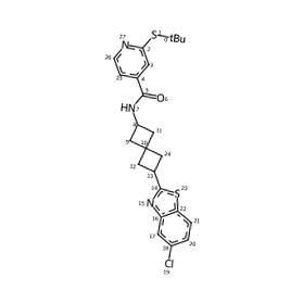 CC(C)(C)Sc1cc(C(=O)NC2CC3(C2)CC(c2nc4cc(Cl)ccc4s2)C3)ccn1